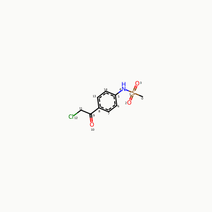 CS(=O)(=O)Nc1ccc(C(=O)CCl)cc1